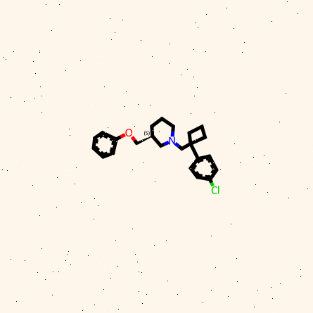 Clc1ccc(C2(CN3CCC[C@H](COc4ccccc4)C3)CCC2)cc1